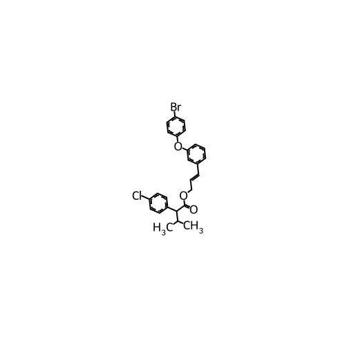 CC(C)C(C(=O)OCC=Cc1cccc(Oc2ccc(Br)cc2)c1)c1ccc(Cl)cc1